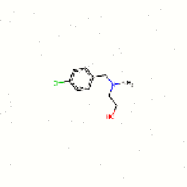 CN(CCO)Cc1ccc(Cl)cc1